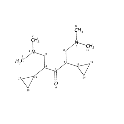 CN(C)CC(C(=O)C(CN(C)C)C1CC1)C1CC1